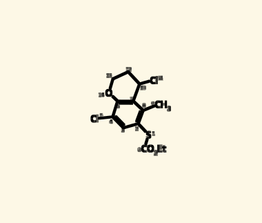 CCOC(=O)Sc1cc(Cl)c2c(c1C)C(Cl)CCO2